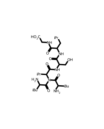 CCC(C)C(N)C(=O)N(C(=O)C(N)C(C)CC)C(C(=O)NC(CO)C(=O)NC(CC(C)C)C(=O)NCC(=O)O)C(C)C